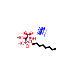 CCCCCCCCOP(=O)(O)C(O)P(=O)(O)O.N.N.N